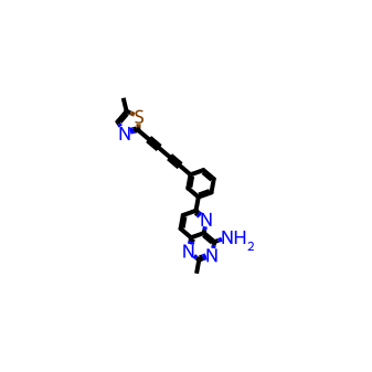 Cc1nc(N)c2nc(-c3cccc(C#CC#Cc4ncc(C)s4)c3)ccc2n1